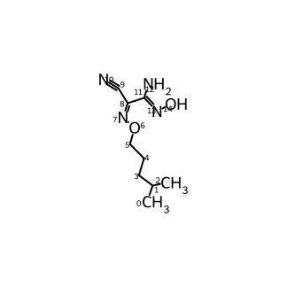 CC(C)CCCON=C(C#N)C(N)=NO